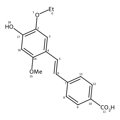 CCOc1cc(C=Cc2ccc(C(=O)O)cc2)c(OC)cc1O